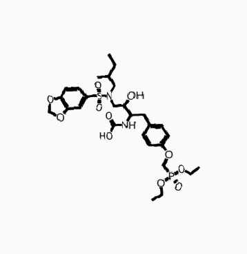 CCOP(=O)(COc1ccc(CC(NC(=O)O)C(O)CN(CC(C)CC)S(=O)(=O)c2ccc3c(c2)OCO3)cc1)OCC